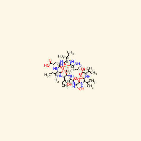 CC[C@H](C)[C@H](N)C(=O)N[C@H](C(=O)N[C@@H](CCC(=O)O)C(=O)N[C@H](C(=O)N[C@H](C(=O)N[C@@H](CO)C(=O)N[C@@H](CO)C(=O)N[C@H](C(=O)N[C@H](C(=O)O)C(C)C)C(C)C)[C@@H](C)CC)[C@@H](C)CC)[C@@H](C)CC